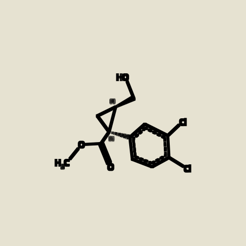 COC(=O)[C@@]1(c2ccc(Cl)c(Cl)c2)C[C@H]1CO